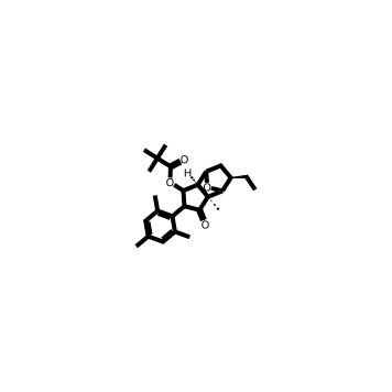 CC[C@@H]1CC2OC1[C@@]1(C)C(=O)C(c3c(C)cc(C)cc3C)C(OC(=O)C(C)(C)C)[C@@H]21